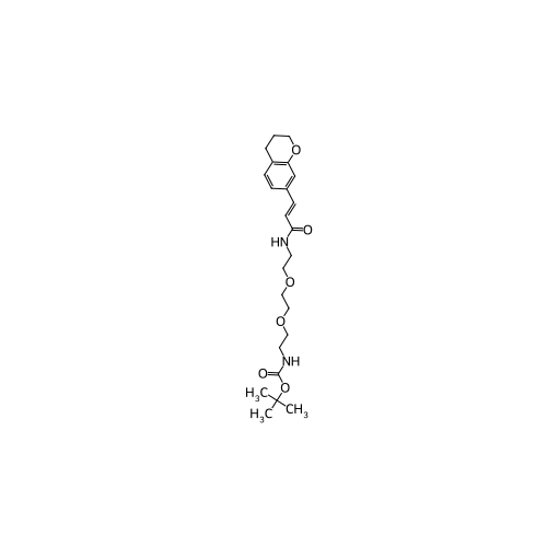 CC(C)(C)OC(=O)NCCOCCOCCNC(=O)/C=C/c1ccc2c(c1)OCCC2